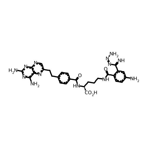 N=C(/N=N\N)c1cc(N)ccc1C(=O)NCCC[C@H](NC(=O)c1ccc(CCc2cnc3nc(N)nc(N)c3n2)cc1)C(=O)O